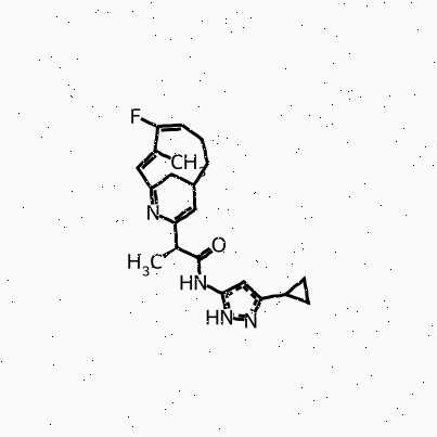 CC1=C\C2=NC([C@H](C)C(=O)Nc3cc(C4CC4)n[nH]3)=CC(CC/C=C\1F)C2